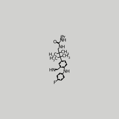 CC(C)NC(=O)NCC(C)(C)C(C)(C)c1ccc(Nc2ccc(F)cc2)c(C=N)c1